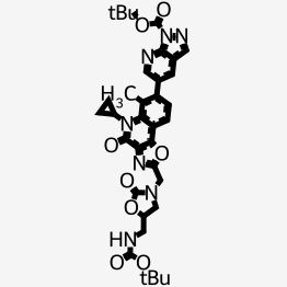 Cc1c(-c2cnc3c(cnn3C(=O)OC(C)(C)C)c2)ccc2c3oc(CN4CC(CNC(=O)OC(C)(C)C)OC4=O)nc3c(=O)n(C3CC3)c12